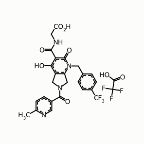 Cc1ccc(C(=O)N2Cc3c(O)c(C(=O)NCC(=O)O)c(=O)n(Cc4ccc(C(F)(F)F)cc4)c3C2)cn1.O=C(O)C(F)(F)F